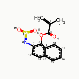 C=C(C)C(=O)Oc1c(N=S(=O)=O)ccc2ccccc12